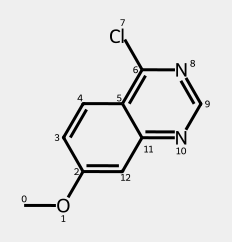 COc1ccc2c(Cl)ncnc2c1